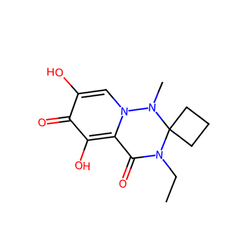 CCN1C(=O)c2c(O)c(=O)c(O)cn2N(C)C12CCC2